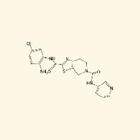 Nc1ccc(Cl)cc1NC(=O)c1nc2c(s1)CN(C(=O)Nc1cccnc1)CC2